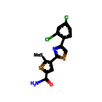 CSc1sc(C(N)=O)cc1-c1nc(-c2ccc(Cl)cc2Cl)cs1